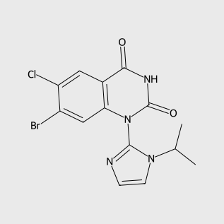 CC(C)n1ccnc1-n1c(=O)[nH]c(=O)c2cc(Cl)c(Br)cc21